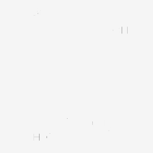 C=C(C)c1ccc(Br)c(CO)c1